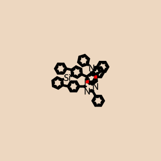 c1ccc(-c2nc(-c3ccccc3)nc(-c3ccc4c(c3)[Si]3(c5ccccc5-4)c4ccccc4-c4ccc(-c5cccc6c7ccccc7n(-c7ccccc7)c56)cc43)n2)cc1